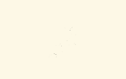 OB(O)c1ccnc(COC2CCCCO2)c1Cl